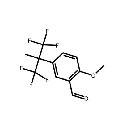 COc1ccc(C(C)(C(F)(F)F)C(F)(F)F)cc1C=O